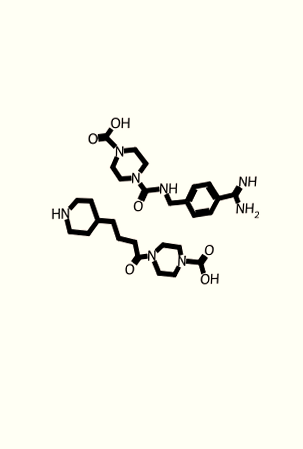 N=C(N)c1ccc(CNC(=O)N2CCN(C(=O)O)CC2)cc1.O=C(O)N1CCN(C(=O)CCCC2CCNCC2)CC1